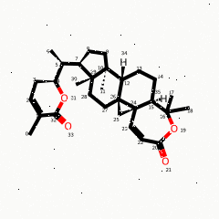 CC1=CC[C@@H]([C@@H](C)[C@H]2CC[C@@]3(C)[C@@H]4CC[C@H]5C(C)(C)OC(=O)C=C[C@@]56C[C@@]46CC[C@]23C)OC1=O